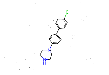 Clc1ccc(-c2ccc(N3CCNCC3)cc2)cc1